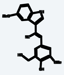 COc1ccc2[nH]cc(/C(C#N)=C/c3cc(CO)c(O)c(OC)c3)c2c1